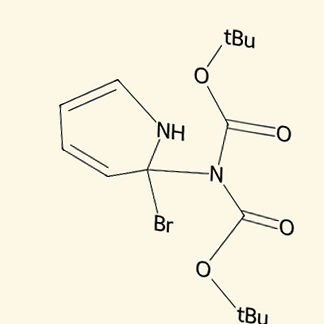 CC(C)(C)OC(=O)N(C(=O)OC(C)(C)C)C1(Br)C=CC=CN1